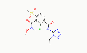 CCn1nnnc1NC(=O)c1ccc(S(C)(=O)=O)c(C(=O)N(C)OC)c1Cl